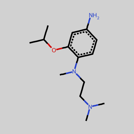 CC(C)Oc1cc(N)ccc1N(C)CCN(C)C